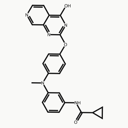 CN(c1ccc(Oc2nc(O)c3ccncc3n2)cc1)c1cccc(NC(=O)C2CC2)c1